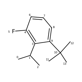 CC(C)c1c(F)cccc1C(C)(C)C